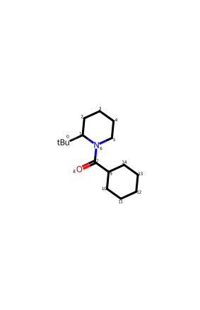 CC(C)(C)C1CCCCN1C(=O)C1CCCCC1